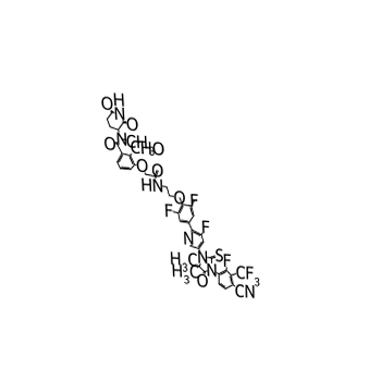 CN(C(=O)c1cccc(OCC(=O)NCCOc2c(F)cc(-c3ncc(N4C(=S)N(c5ccc(C#N)c(C(F)(F)F)c5F)C(=O)C4(C)C)cc3F)cc2F)c1C=O)C1CCC(=O)NC1=O